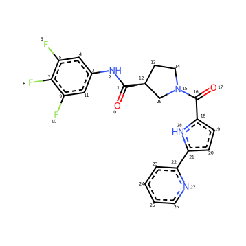 O=C(Nc1cc(F)c(F)c(F)c1)[C@H]1CCN(C(=O)c2ccc(-c3ccccn3)[nH]2)C1